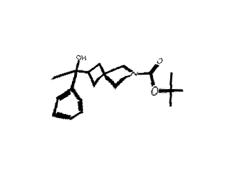 CC(C)(C)OC(=O)N1CC2(CC(C(C)(O)c3ccccc3)C2)C1